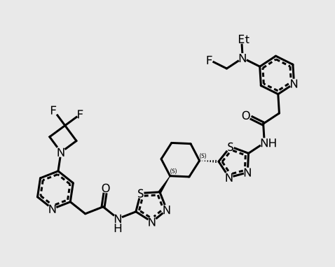 CCN(CF)c1ccnc(CC(=O)Nc2nnc([C@H]3CCC[C@H](c4nnc(NC(=O)Cc5cc(N6CC(F)(F)C6)ccn5)s4)C3)s2)c1